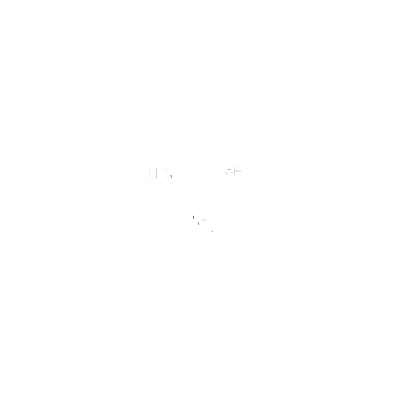 N[CH](N)[GeH3].[H-]